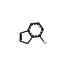 CCc1cccc2c1CC=C2